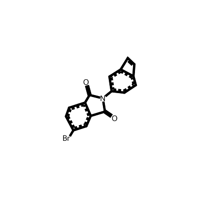 O=C1c2ccc(Br)cc2C(=O)N1c1ccc2c(c1)C=C2